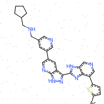 CC(=O)c1ccc(-c2cncc3[nH]c(-c4n[nH]c5ncc(-c6cncc(CNCC7CCCC7)c6)cc45)nc23)s1